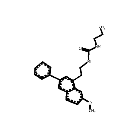 CCCNC(=O)NCCc1cc(-c2ccccc2)cc2ccc(OC)cc12